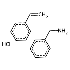 C=Cc1ccccc1.Cl.NCc1ccccc1